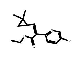 CCOC(=O)C(=CC1CC1(C)C)c1ccc(Br)cn1